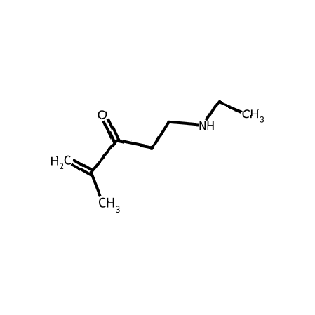 C=C(C)C(=O)CCNCC